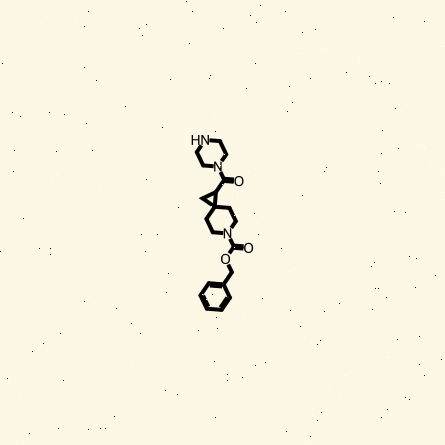 O=C(OCc1ccccc1)N1CCC2(CC1)CC2C(=O)N1CCNCC1